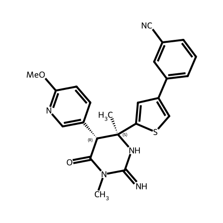 COc1ccc([C@H]2C(=O)N(C)C(=N)N[C@]2(C)c2cc(-c3cccc(C#N)c3)cs2)cn1